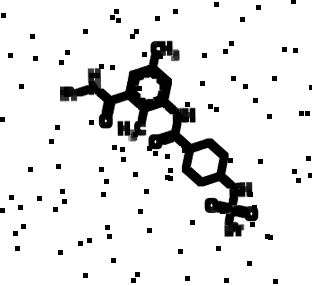 Cc1cc(NC(=O)C2CCC(NS(=O)(=O)C(C)C)CC2)c(C)c(C(=O)NC(C)C)c1